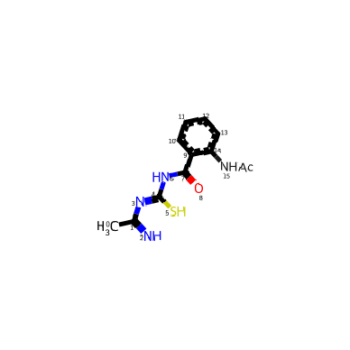 CC(=N)/N=C(\S)NC(=O)c1ccccc1NC(C)=O